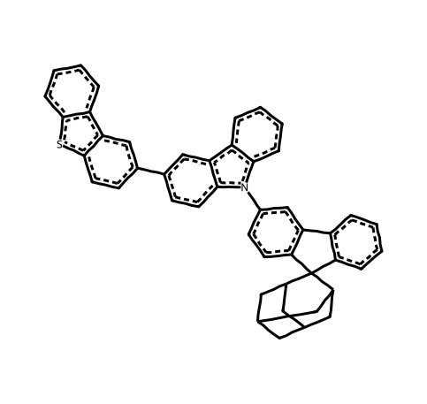 c1ccc2c(c1)-c1cc(-n3c4ccccc4c4cc(-c5ccc6sc7ccccc7c6c5)ccc43)ccc1C21C2CC3CC(C2)CC1C3